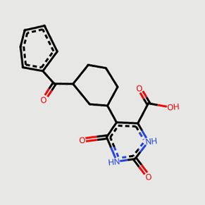 O=C(O)c1[nH]c(=O)[nH]c(=O)c1C1CCCC(C(=O)c2ccccc2)C1